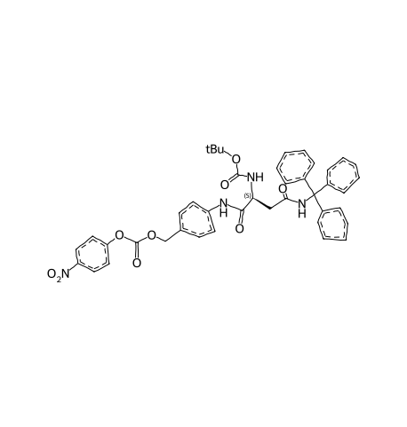 CC(C)(C)OC(=O)N[C@@H](CC(=O)NC(c1ccccc1)(c1ccccc1)c1ccccc1)C(=O)Nc1ccc(COC(=O)Oc2ccc([N+](=O)[O-])cc2)cc1